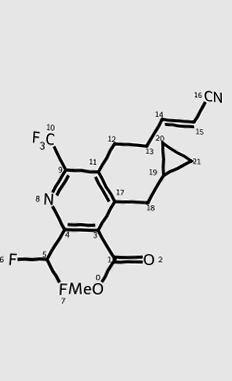 COC(=O)c1c(C(F)F)nc(C(F)(F)F)c(CCC=CC#N)c1CC1CC1